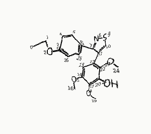 CCOc1ccc(-c2nscc2-c2cc(OC)c(OC)c(O)c2OC)cc1